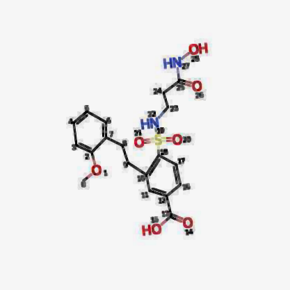 COc1ccccc1CCc1cc(C(=O)O)ccc1S(=O)(=O)NCCC(=O)NO